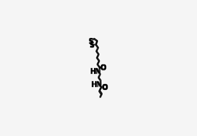 CC=CC(=O)NCCCNC(=O)CCCCCCC1CCSS1